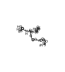 CCN(CCNCCc1ccc(O)c2[nH]c(=O)sc12)C(=O)CCOCCc1cccc(OCCCN2CCC3(CC2)CN(C(=O)c2csc(C(C)C)n2)CCO3)c1.O=C(O)C(F)(F)F.O=C(O)C(F)(F)F